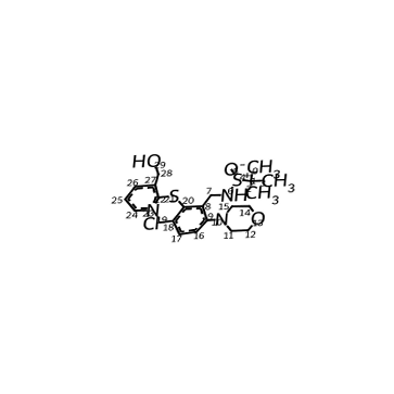 CC(C)(C)[S+]([O-])NCc1c(N2CCOCC2)ccc(Cl)c1Sc1ncccc1CO